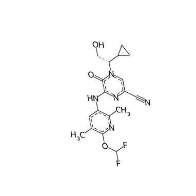 Cc1cc(Nc2nc(C#N)cn([C@H](CO)C3CC3)c2=O)c(C)nc1OC(F)F